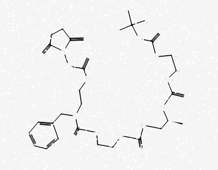 C[C@H](CNC(=O)N(Cc1ccccc1)[C@@H](C)CNC(=O)ON1C(=O)CCC1=O)NC(=O)NC[C@H](C)NC(=O)NC[C@@H](C)NC(=O)OC(C)(C)C